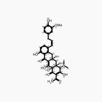 COc1cc(C/C=C\c2ccc(O)c3c2C[C@@H]2C[C@@H]4[C@@H](N(C)C)C(O)=C(C(N)=O)C(=O)[C@]4(O)C(O)=C2C3=O)ccc1O